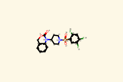 O=C1OCc2ccccc2N1C1CCN(S(=O)(=O)c2cc(F)c(F)cc2F)CC1